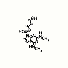 CNc1nc(NC)c2ncn(C(O)OCCCO)c2n1